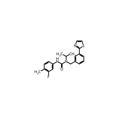 Cc1ccc(NC(=O)N(Cc2cccc(-c3nccs3)c2)C(C)C)cc1F